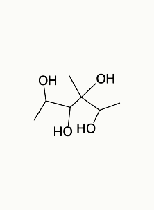 CC(O)C(O)C(C)(O)C(C)O